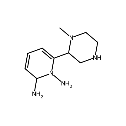 CN1CCNCC1C1=CC=CC(N)N1N